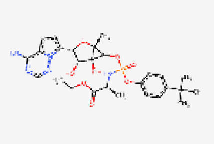 CCOC(=O)[C@H](C)NP(=O)(Oc1ccc(C(C)(C)C)cc1)OC1[C@@]2(C)O[C@@H](c3ccc4c(N)ncnn34)[C@H](O)[C@@]12O